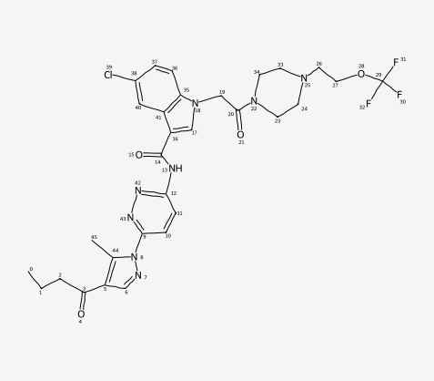 CCCC(=O)c1cnn(-c2ccc(NC(=O)c3cn(CC(=O)N4CCN(CCOC(F)(F)F)CC4)c4ccc(Cl)cc34)nn2)c1C